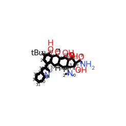 CN(C)[C@H]1C(O)=C(C(N)=O)C(=O)[C@@]2(O)C(O)=C3C(=O)c4c(O)c(C(C)(C)C)cc(-c5cnc6ccccc6c5)c4C[C@@H]3C[C@H]12